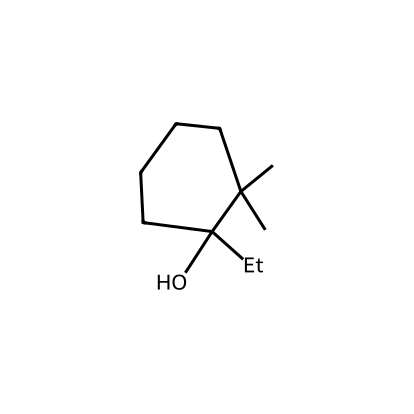 CCC1(O)CCCCC1(C)C